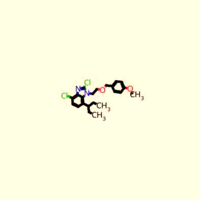 CCC(CC)c1ccc(Cl)c2nc(Cl)n(CCOCc3ccc(OC)cc3)c12